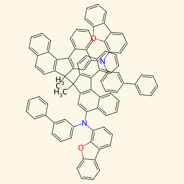 CC1(C2(C)c3ccc4ccccc4c3-c3c2cc(N(c2cccc(-c4ccccc4)c2)c2cccc4c2oc2ccccc24)c2ccccc32)c2ccc3ccccc3c2-c2c1cc(N(c1cccc(-c3ccccc3)c1)c1cccc3c1oc1ccccc13)c1ccccc21